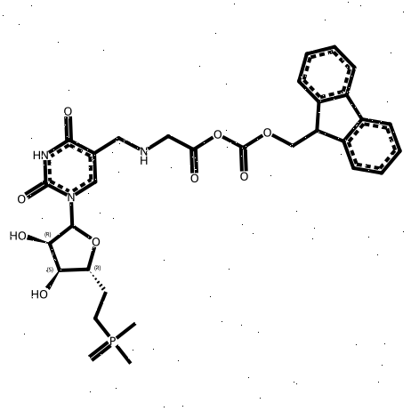 C=P(C)(C)CC[C@H]1OC(n2cc(CNCC(=O)OC(=O)OCC3c4ccccc4-c4ccccc43)c(=O)[nH]c2=O)[C@H](O)[C@@H]1O